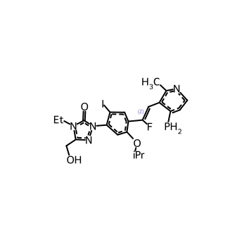 CCn1c(CO)nn(-c2cc(OC(C)C)c(/C(F)=C/c3c(P)ccnc3C)cc2I)c1=O